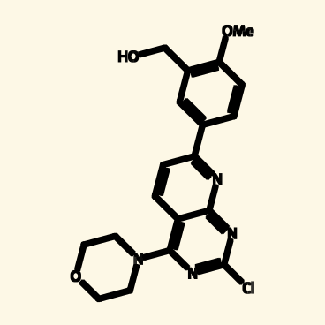 COc1ccc(-c2ccc3c(N4CCOCC4)nc(Cl)nc3n2)cc1CO